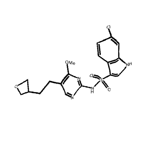 COc1nc(NS(=O)(=O)c2c[nH]c3cc(Cl)ccc23)ncc1CCC1COC1